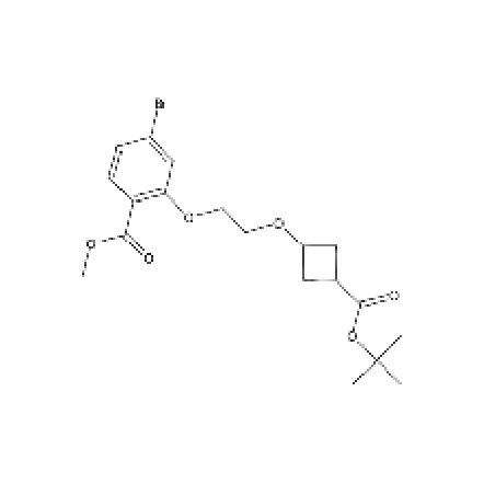 COC(=O)c1ccc(Br)cc1OCCOC1CC(C(=O)OC(C)(C)C)C1